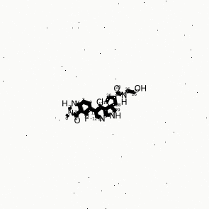 CN(C)C(=O)c1c(N)ccc(-c2cnc3c(c2Cl)[C@]2(CC[C@H](C(=O)NCCO)C2)CN3)c1F